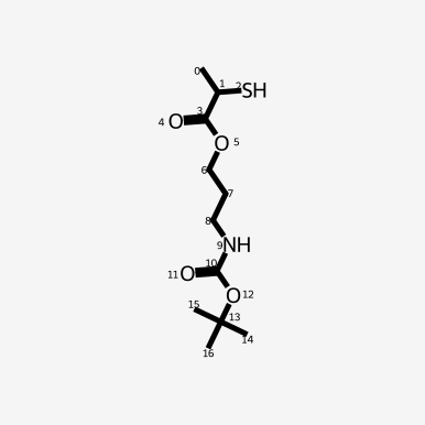 CC(S)C(=O)OCCCNC(=O)OC(C)(C)C